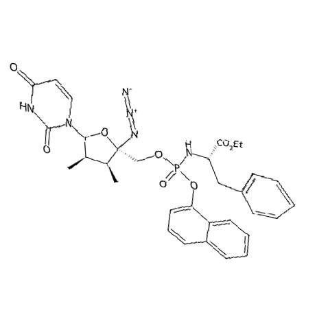 CCOC(=O)[C@H](Cc1ccccc1)NP(=O)(OC[C@@]1(N=[N+]=[N-])OC(n2ccc(=O)[nH]c2=O)[C@H](C)[C@@H]1C)Oc1cccc2ccccc12